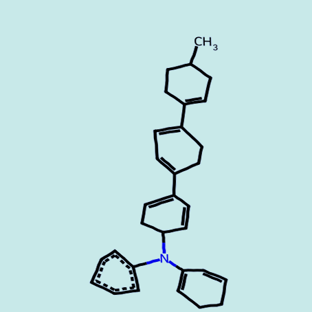 CC1CC=C(C2=CC=C(C3=CCC(N(C4=CCCC=C4)c4ccccc4)C=C3)CC2)CC1